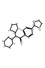 O=C(c1ccc(C2OCCO2)cc1)C(C1CCCCC1)C1CCCC1